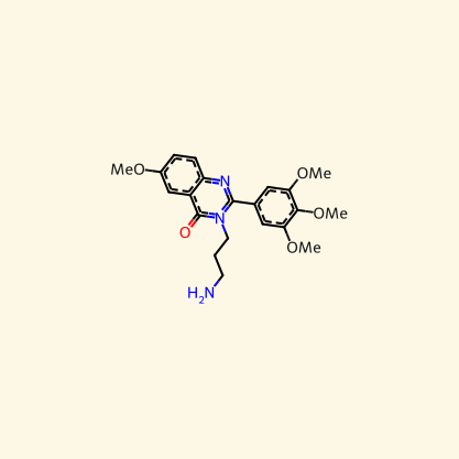 COc1ccc2nc(-c3cc(OC)c(OC)c(OC)c3)n(CCCN)c(=O)c2c1